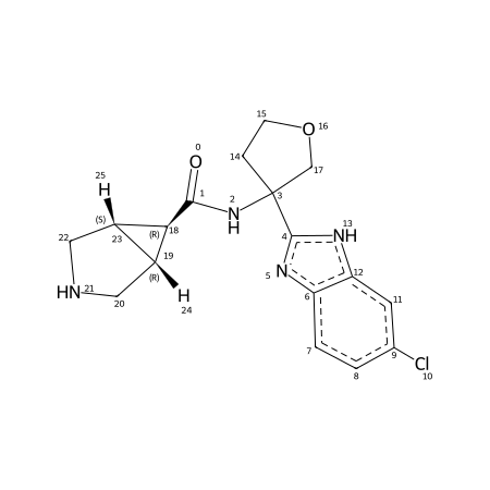 O=C(NC1(c2nc3ccc(Cl)cc3[nH]2)CCOC1)[C@H]1[C@@H]2CNC[C@@H]21